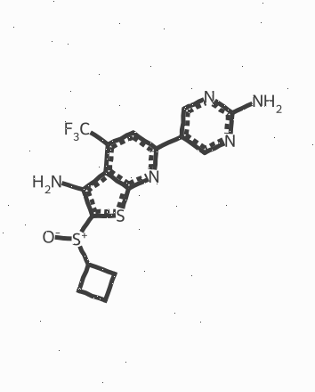 Nc1ncc(-c2cc(C(F)(F)F)c3c(N)c([S+]([O-])C4CCC4)sc3n2)cn1